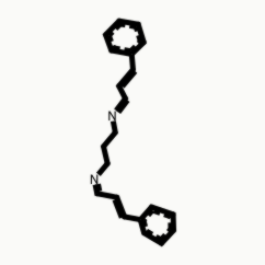 C(/C=C/c1ccccc1)=N/CCC/N=C/C=C/c1ccccc1